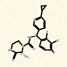 C[C@@H]1C(=O)NCCN1C(=O)N[C@@H](c1ccc(C2CC2)nc1)c1ccc(F)c(Cl)c1F